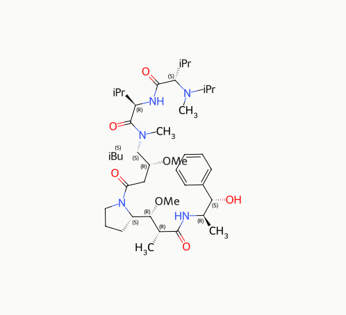 CC[C@H](C)[C@@H]([C@@H](CC(=O)N1CCC[C@H]1[C@H](OC)[C@@H](C)C(=O)N[C@H](C)[C@@H](O)c1ccccc1)OC)N(C)C(=O)[C@H](NC(=O)[C@H](C(C)C)N(C)C(C)C)C(C)C